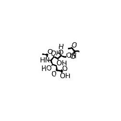 CC(=O)C(C)=O.CC(=O)N[C@@H]([C@@H](O)[C@H](O)[C@H](O)CO)[C@@H](O)CC(=O)C(=O)O